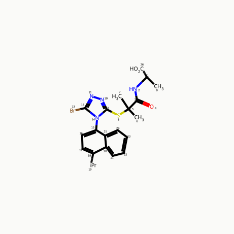 CC(NC(=O)C(C)(C)Sc1nnc(Br)n1-c1ccc(C(C)C)c2ccccc12)C(=O)O